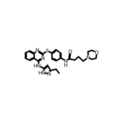 CCc1cc(Nc2nc(Sc3ccc(NC(=O)CCCN4CCOCC4)cc3)nc3ccccc23)[nH]n1